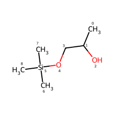 CC(O)CO[Si](C)(C)C